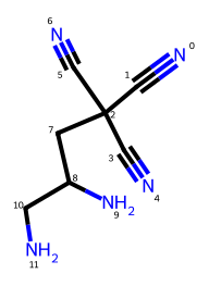 N#CC(C#N)(C#N)CC(N)CN